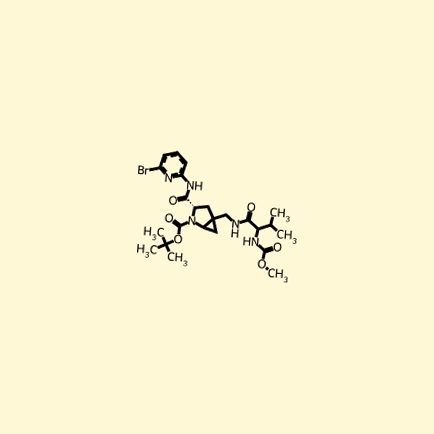 COC(=O)NC(C(=O)NCC12CC1N(C(=O)OC(C)(C)C)[C@H](C(=O)Nc1cccc(Br)n1)C2)C(C)C